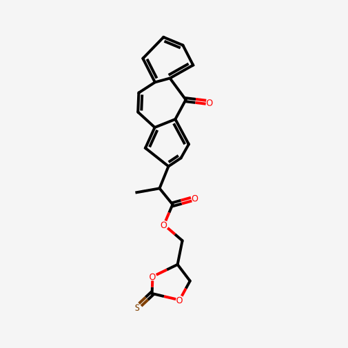 CC(C(=O)OCC1COC(=S)O1)c1ccc2c(=O)c3ccccc3ccc2c1